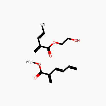 C=C(C=CC#N)C(=O)OCCO.C=CC=CC(=C)C(=O)OCCCC